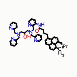 Cc1ccc2ccc(CCCC(=O)Nc3cccnc3CN(Cc3ccccn3)CC(O)CN(Cc3ccccn3)Cc3ccccn3)c3cc/c(=C/C(C)C)c1c23